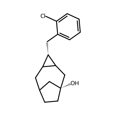 O[C@@]12CCC(CC3C(C1)[C@H]3Cc1ccccc1Cl)C2